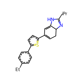 CCc1ccc(-c2ccc(C3=CCC4N=C(C(C)C)NC4=C3)s2)cc1